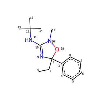 CCC1(c2ccccc2)N=C(NC(C)(C)C)N(C)O1